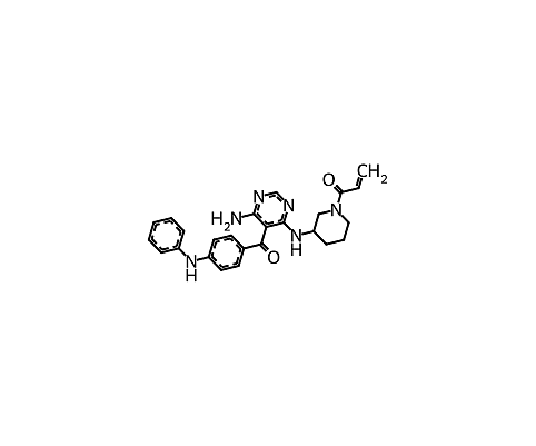 C=CC(=O)N1CCCC(Nc2ncnc(N)c2C(=O)c2ccc(Nc3ccccc3)cc2)C1